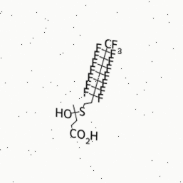 CC(O)(CCC(=O)O)SCCC(F)(F)C(F)(F)C(F)(F)C(F)(F)C(F)(F)C(F)(F)C(F)(F)C(F)(F)F